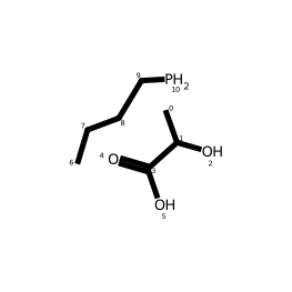 CC(O)C(=O)O.CCCCP